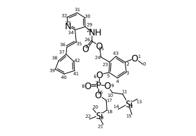 COc1ccc(OP(=O)(OCC[Si](C)(C)C)OCC[Si](C)(C)C)c(COC(=O)Nc2cccnc2C=Cc2ccccc2)c1